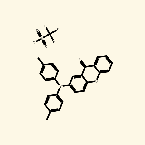 Cc1ccc([S+](c2ccc(C)cc2)c2ccc3oc4ccccc4c(=S)c3c2)cc1.O=S(=O)([O-])C(F)(F)F